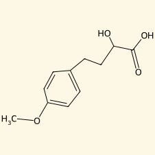 COc1ccc(CCC(O)C(=O)O)cc1